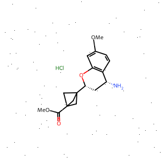 COC(=O)C12CC([C@H]3C[C@@H](N)c4ccc(OC)cc4O3)(C1)C2.Cl